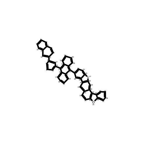 c1cc(-c2ccc3ccccc3c2)cc(-c2c3ccccc3c(-c3ccc4sc5cc6c(ccc7oc8ccccc8c76)cc5c4c3)c3ccccc23)c1